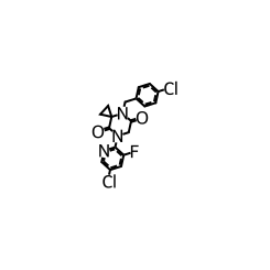 O=C1CN(c2ncc(Cl)cc2F)C(=O)C2(CC2)N1Cc1ccc(Cl)cc1